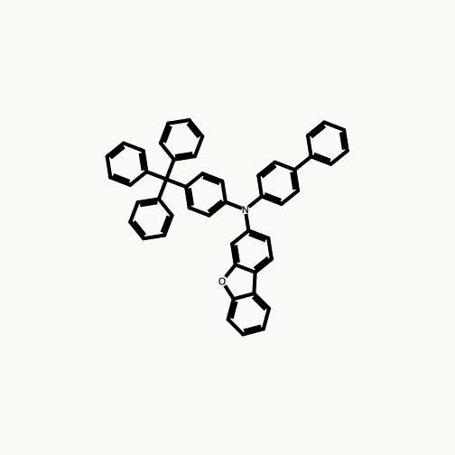 c1ccc(-c2ccc(N(c3ccc(C(c4ccccc4)(c4ccccc4)c4ccccc4)cc3)c3ccc4c(c3)oc3ccccc34)cc2)cc1